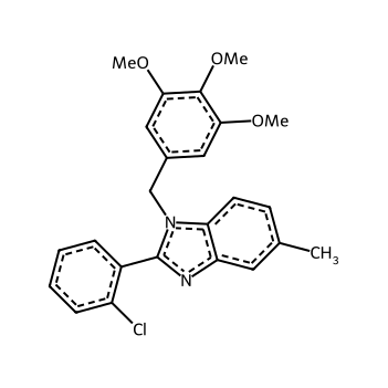 COc1cc(Cn2c(-c3ccccc3Cl)nc3cc(C)ccc32)cc(OC)c1OC